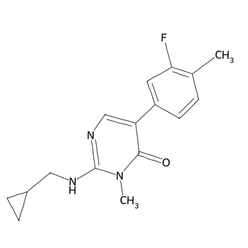 Cc1ccc(-c2cnc(NCC3CC3)n(C)c2=O)cc1F